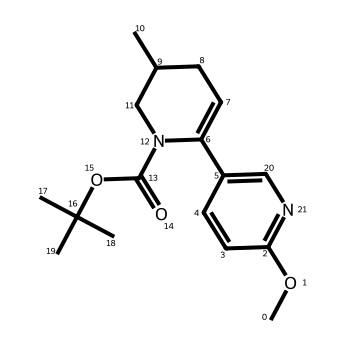 COc1ccc(C2=CCC(C)CN2C(=O)OC(C)(C)C)cn1